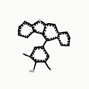 Oc1c(I)cc(-c2c3ccccc3cc3sc4ccccc4c23)cc1I